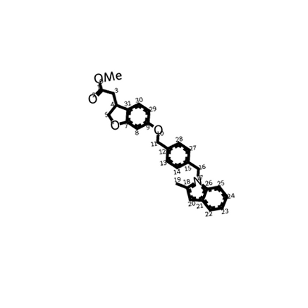 COC(=O)CC1COc2cc(OCc3ccc(Cn4c(C)cc5ccccc54)cc3)ccc21